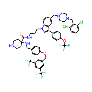 O=C(NCCCn1cc(-c2ccc(OC(F)(F)F)cc2)c2cc(CN3CCN(Cc4c(Cl)cccc4Cl)CC3)ccc21)C1(NCc2ccc(OCc3cc(C(F)(F)F)cc(C(F)(F)F)c3)cc2)CCNCC1